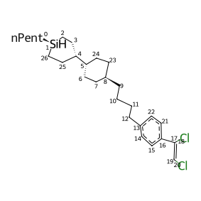 CCCCC[Si@H]1CC[C@H]([C@H]2CC[C@H](CCCCc3ccc(C(Cl)=CCl)cc3)CC2)CC1